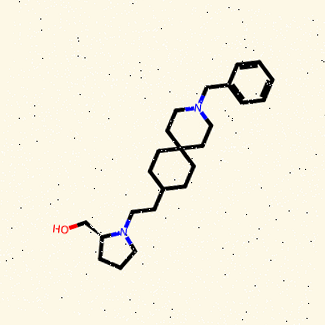 OC[C@@H]1CCCN1CCC1CCC2(CC1)CCN(Cc1ccccc1)CC2